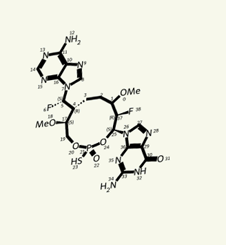 COC1CC[C@@H]([C@H](F)n2cnc3c(N)ncnc32)[C@H](OC)COP(=O)(S)O[C@H](n2cnc3c(=O)[nH]c(N)nc32)[C@@H]1F